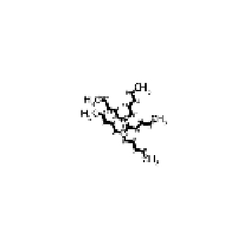 CCCCCP(CCCCC)C(CCCC)P(CCCCC)CCCCC